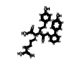 N=C(N)NCCC[C@H](C(N)=O)N(CCc1ccc(O)cc1)C(=O)Cc1ccccc1-c1ccc(O)cc1